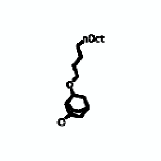 [CH2]CCCCCCCCCCCOC1CC2CCC1C([O])C2